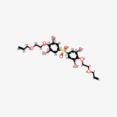 C=CCOCCOc1c(Br)cc(S(=O)(=O)c2cc(Br)c(OCCOCC=C)c(Br)c2)cc1Br